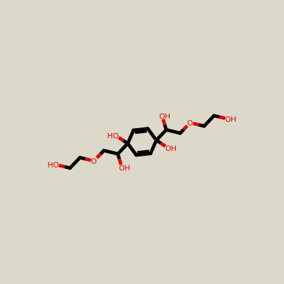 OCCOCC(O)C1(O)C=CC(O)(C(O)COCCO)C=C1